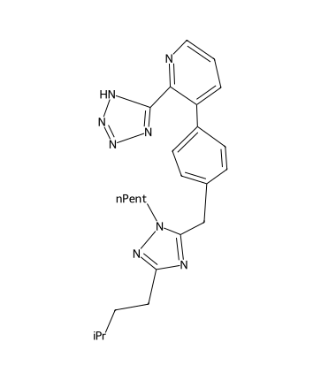 CCCCCn1nc(CCC(C)C)nc1Cc1ccc(-c2cccnc2-c2nnn[nH]2)cc1